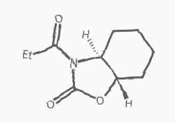 CCC(=O)N1C(=O)O[C@H]2CCCC[C@@H]21